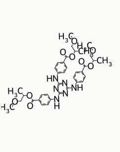 COCC(C)OC(=O)c1ccc(Nc2nc(Nc3ccc(C(=O)OC(C)COC)cc3)nc(Nc3ccc(C(=O)OC(C)COC)cc3)n2)cc1